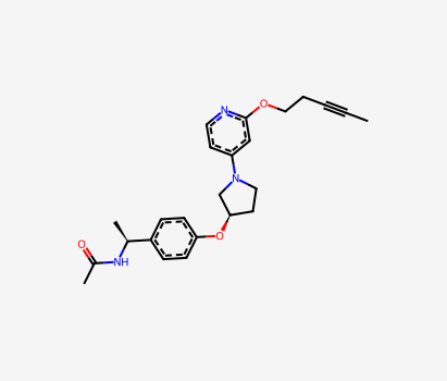 CC#CCCOc1cc(N2CC[C@@H](Oc3ccc([C@H](C)NC(C)=O)cc3)C2)ccn1